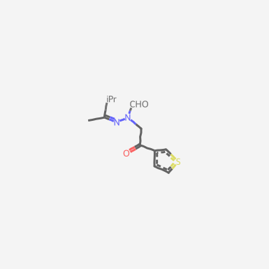 C/C(=N/N(C=O)CC(=O)c1ccsc1)C(C)C